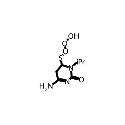 CC(C)N1C(=O)N=C(N)CC1SOOO